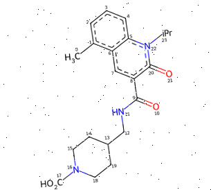 Cc1cccc2c1cc(C(=O)NCC1CCN(C(=O)O)CC1)c(=O)n2C(C)C